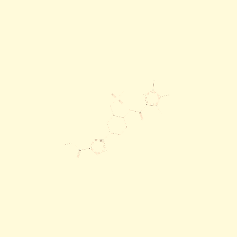 COC(=O)c1cnc(N2CCC(NC(=O)c3[nH]c(C)c(Cl)c3C)C(CS(C)(=O)=O)C2)s1